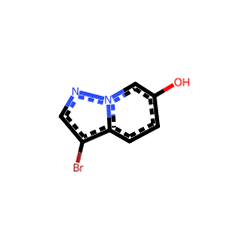 Oc1ccc2c(Br)cnn2c1